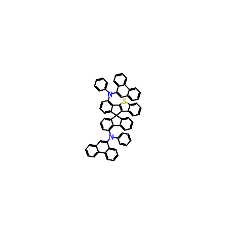 c1ccc(N(c2cccc3c2-c2ccccc2C32c3cccc(N(c4ccccc4)c4cc5ccccc5c5ccccc45)c3-c3sc4ccccc4c32)c2cc3ccccc3c3ccccc23)cc1